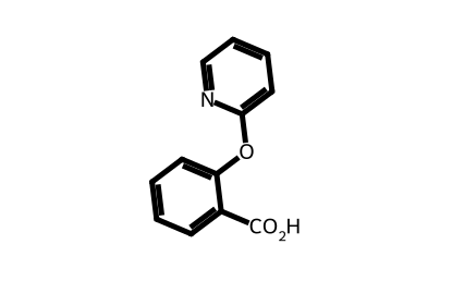 O=C(O)c1ccccc1Oc1ccccn1